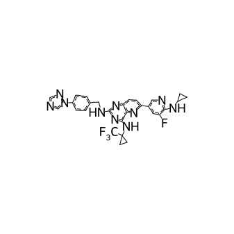 Fc1cc(-c2ccc3nc(NCc4ccc(-n5cncn5)cc4)nc(NC4(C(F)(F)F)CC4)c3n2)cnc1NC1CC1